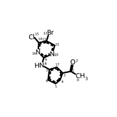 CC(=O)c1cccc(Nc2ncc(Br)c(Cl)n2)c1